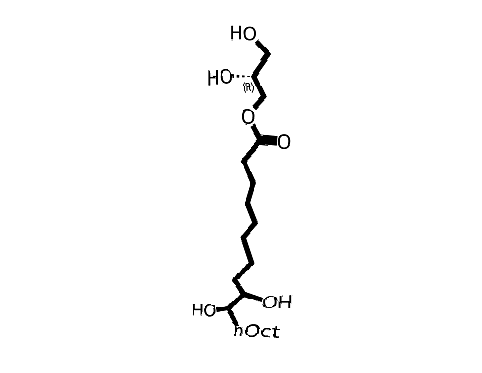 CCCCCCCCC(O)C(O)CCCCCCCC(=O)OC[C@H](O)CO